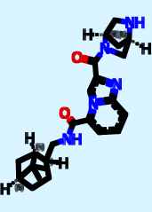 CC1(C)[C@H]2CC[C@@H](CNC(=O)c3cccc4nc(C(=O)N5C[C@H]6C[C@@H]5CN6)cn34)[C@@H]1C2